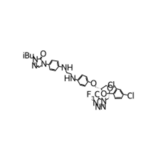 CCC(C)n1ncn(-c2ccc(NCCNc3ccc(OC[C@@H]4CO[C@@](Cn5nnnc5C(F)(F)F)(c5ccc(Cl)cc5Cl)O4)cc3)cc2)c1=O